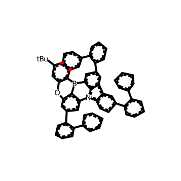 CC(C)(C)c1ccc2c(c1)Oc1cc(-c3ccccc3-c3ccccc3)cc3c1B2c1cc(-c2ccccc2-c2ccccc2)cc2c4cc(-c5ccccc5-c5ccccc5)ccc4n-3c12